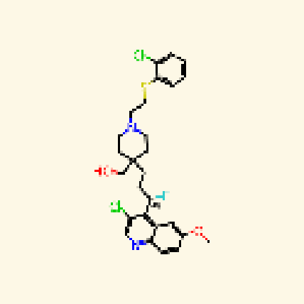 COc1ccc2ncc(Cl)c([C@H](F)CCC3(CO)CCN(CCSc4ccccc4Cl)CC3)c2c1